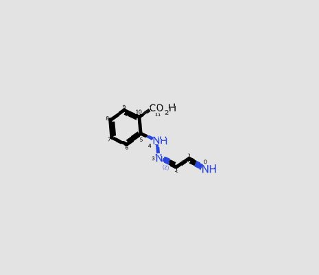 N=C/C=N\Nc1ccccc1C(=O)O